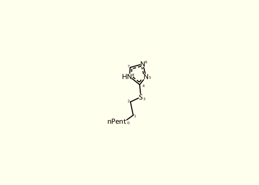 CCCCCCCSc1nnc[nH]1